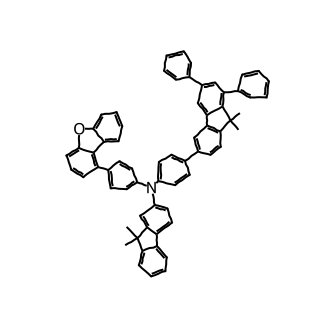 CC1(C)c2ccccc2-c2ccc(N(c3ccc(-c4ccc5c(c4)-c4cc(-c6ccccc6)cc(-c6ccccc6)c4C5(C)C)cc3)c3ccc(-c4cccc5oc6ccccc6c45)cc3)cc21